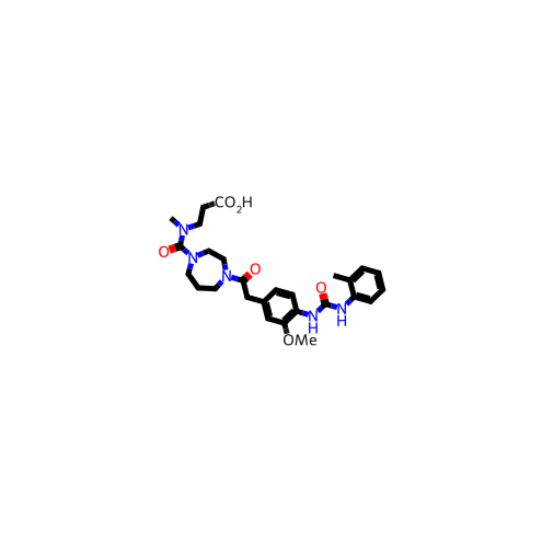 COc1cc(CC(=O)N2CCCN(C(=O)N(C)CCC(=O)O)CC2)ccc1NC(=O)Nc1ccccc1C